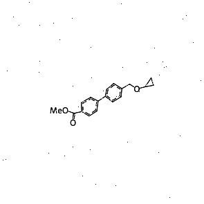 COC(=O)c1ccc(-c2ccc(COC3CC3)cc2)cc1